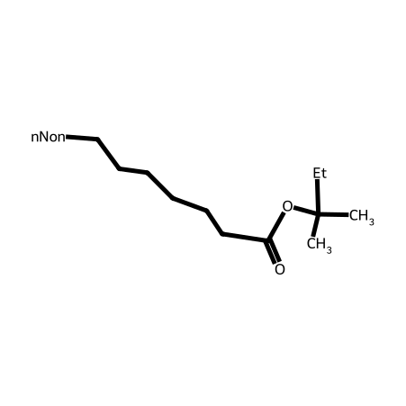 CCCCCCCCCCCCCCCC(=O)OC(C)(C)CC